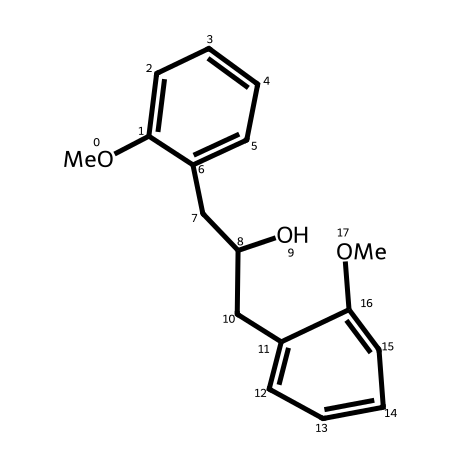 COc1ccccc1CC(O)Cc1ccccc1OC